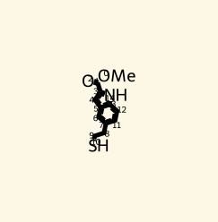 COC(=O)c1cc2cc(CCS)ccc2[nH]1